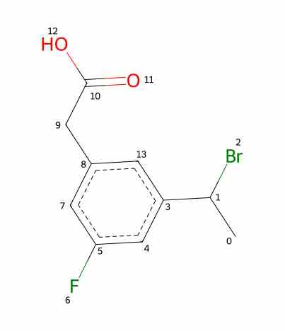 CC(Br)c1cc(F)cc(CC(=O)O)c1